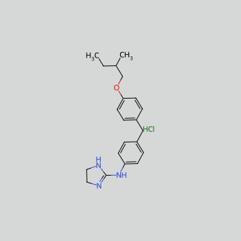 CCC(C)COc1ccc(Cc2ccc(NC3=NCCN3)cc2)cc1.Cl